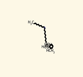 CCCCCCCC/C=C\CCCCCCCCOP(O)(O)=[SH]c1ccccc1C